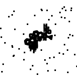 CNC1=NC(C2CC2)C(C(N)=O)N1Cc1ccc2oc(-c3ccccc3NS(=O)(=O)C(F)(F)F)c(Br)c2c1